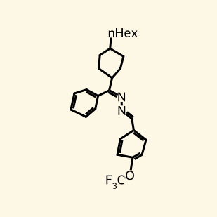 CCCCCCC1CCC(C(=NN=Cc2ccc(OC(F)(F)F)cc2)c2ccccc2)CC1